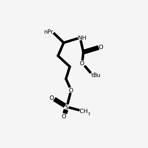 CCCC(CCCOS(C)(=O)=O)NC(=O)OC(C)(C)C